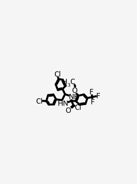 CCOc1cc(C(F)(F)F)ccc1C1(C(=O)Cl)NC(c2ccc(Cl)cc2)C(c2ccc(Cl)cc2)N1